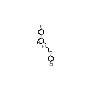 Fc1ccc(-c2cncc(CNCCOc3ccc(Cl)cc3)c2)cc1